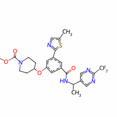 Cc1cnc(-c2cc(OC3CCN(C(=O)OC(C)(C)C)CC3)cc(C(=O)NC(C)c3cnc(C(F)(F)F)nc3)c2)s1